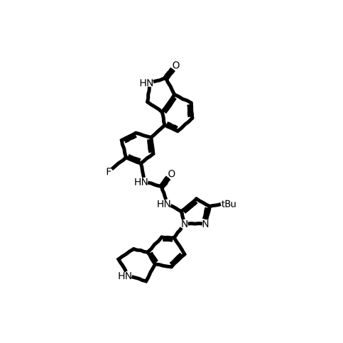 CC(C)(C)c1cc(NC(=O)Nc2cc(-c3cccc4c3CNC4=O)ccc2F)n(-c2ccc3c(c2)CCNC3)n1